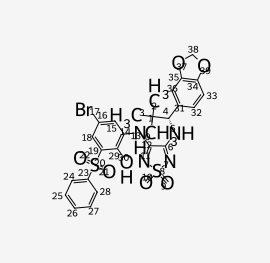 CC(C)(C)[C@@H](NC1=NS(=O)(=O)N=C1Nc1cc(Br)cc(S(=O)(=O)c2ccccc2)c1O)c1ccc2c(c1)OCO2